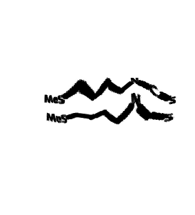 CSC=CCCN=C=S.CSCCCCN=C=S